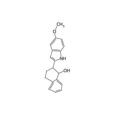 COc1ccc2[nH]c(C3CCc4ccccc4C3O)cc2c1